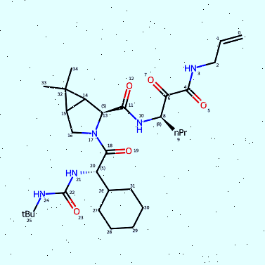 C=CCNC(=O)C(=O)[C@@H](CCC)NC(=O)[C@@H]1C2C(CN1C(=O)[C@@H](NC(=O)NC(C)(C)C)C1CCCCC1)C2(C)C